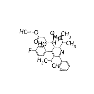 C#COC(=O)CC(O)C(c1c(C(C)C)nc(-c2ccccc2)c(C(C)C)c1-c1ccc(F)cc1)[PH](=O)OC